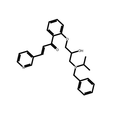 CC(C)N(Cc1ccccc1)CC(O)COc1ccccc1C(=O)C=Cc1cccnc1